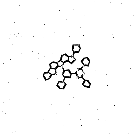 c1ccc(-c2cc(-c3nc(-c4ccccc4)nc(-c4ccccc4)n3)cc(-n3c4c(ccc5c4ccn5-c4ccccc4)c4ccc5c6ccccc6sc5c43)c2)cc1